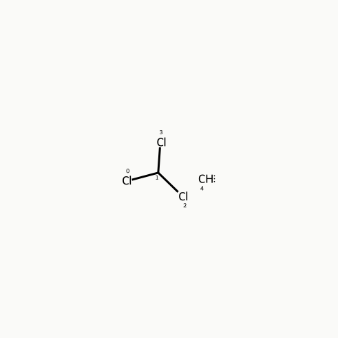 ClC(Cl)Cl.[CH]